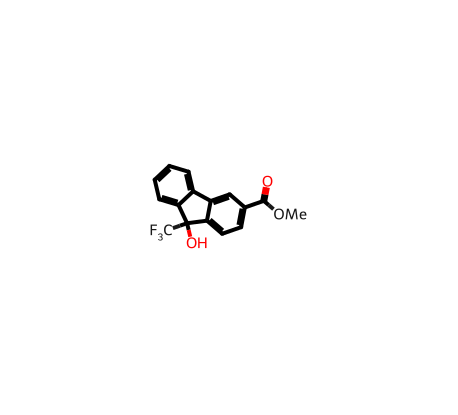 COC(=O)c1ccc2c(c1)-c1ccccc1C2(O)C(F)(F)F